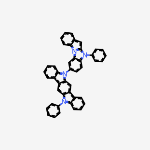 c1ccc(-n2c3ccccc3c3cc4c(cc32)c2ccccc2n4-c2ccc3c(c2)n2c4ccccc4cc2n3-c2ccccc2)cc1